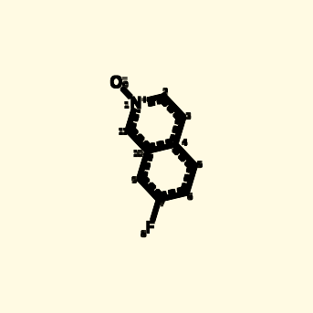 [O-][n+]1ccc2ccc(F)cc2c1